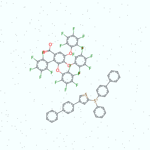 O=C([O-])c1cc(Oc2c(F)c(F)c(F)c(F)c2F)c(Oc2c(F)c(F)c(F)c(F)c2F)c(Oc2c(F)c(F)c(F)c(F)c2F)c1-c1c(F)c(F)c(F)c(F)c1F.c1ccc(-c2ccc(-c3csc([S+](c4ccccc4)c4ccc(-c5ccccc5)cc4)c3)cc2)cc1